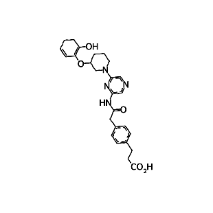 O=C(O)CCc1ccc(CC(=O)Nc2cncc(N3CCCC(OC4=C(O)CCC=C4)C3)n2)cc1